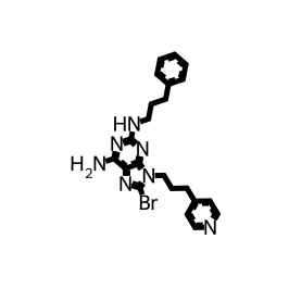 Nc1nc(NCCCc2ccccc2)nc2c1nc(Br)n2CCCc1ccncc1